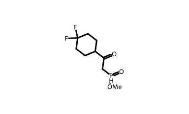 CO[PH](=O)CC(=O)C1CCC(F)(F)CC1